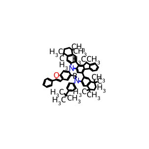 CC(C)(C)c1ccc(N2B3c4cc5cc(-c6ccccc6)oc5cc4-n4c5cc6c(cc5c5c7c(c(c3c54)-c3cc4c(cc32)C(C)(C)CCC4(C)C)-c2ccccc2C7(C)C)C(C)(C)CCC6(C)C)cc1